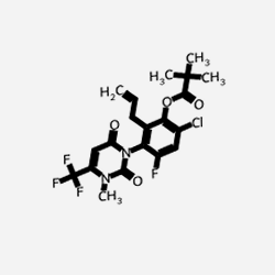 C=CCc1c(OC(=O)C(C)(C)C)c(Cl)cc(F)c1-n1c(=O)cc(C(F)(F)F)n(C)c1=O